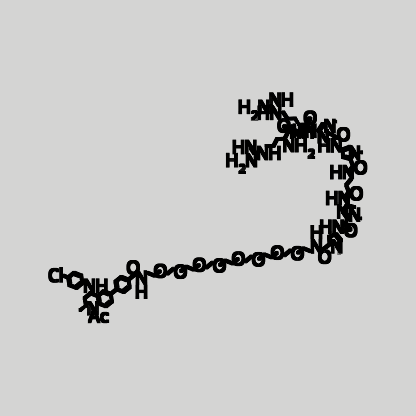 CC(=O)N1c2ccc(-c3ccc(C(=O)NCCOCCOCCOCCOCCOCCOCCOCCOCCNC(=O)c4cc(NC(=O)c5nc(NC(=O)CCNC(=O)c6cc(NC(=O)c7nc(NC(=O)[C@H](CCCNC(=N)N)NC(=O)[C@@H](N)CCCNC(=N)N)cn7C)cn6C)cn5C)cn4C)cc3)cc2[C@H](Nc2ccc(Cl)cc2)C[C@@H]1C